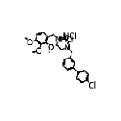 COc1ccc(CN2CCN(Cc3cccc(-c4ccc(Cl)cc4)c3)CC2)c(OC)c1OC.Cl.Cl